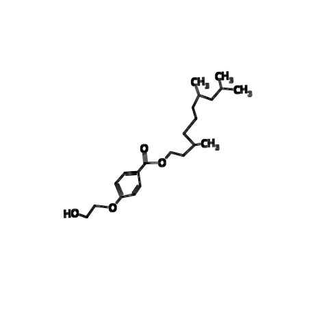 CC(C)CC(C)CCCC(C)CCOC(=O)c1ccc(OCCO)cc1